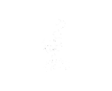 c1ccc(-c2ccc(N(c3ccccc3)c3cccc4oc5cc(-n6c7ccccc7c7cc8ccccc8cc76)ccc5c34)cc2)cc1